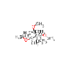 C[Si](C)(O[SiH3])[Si](C)([Si](C)(C)O[SiH3])[Si](C)(C)O[SiH3]